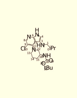 CC(C)CNc1c[nH]c2ncc(Cl)c(N3CCCC(NC(=O)OC(C)(C)C)C3)c12